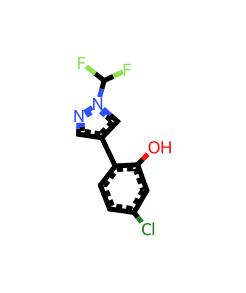 Oc1cc(Cl)ccc1-c1cnn(C(F)F)c1